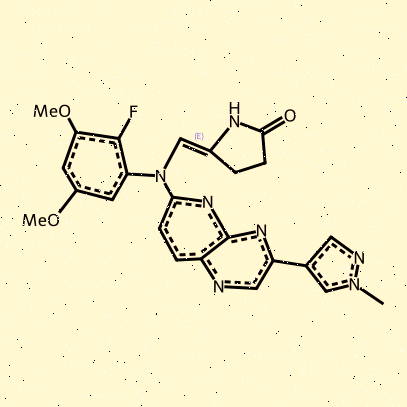 COc1cc(OC)c(F)c(N(/C=C2\CCC(=O)N2)c2ccc3ncc(-c4cnn(C)c4)nc3n2)c1